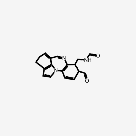 O=CNCC1C2=C(C=CC1C=O)n1ccc3c1C(=CCC3)C=N2